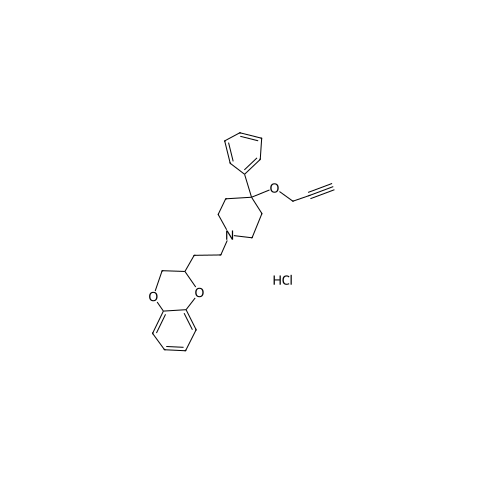 C#CCOC1(c2ccccc2)CCN(CCC2COc3ccccc3O2)CC1.Cl